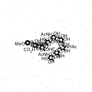 COc1ccc(OC2OC(C(=O)O)C(OC3OC(C)C(OC4OC(C=O)C(OC5OC(C)C(OC6OC(C(=O)O)C(OC7OC(C)C(OC8OC(C=O)C(OC9OC(C)C(O)C(O)C9NC(C)=O)C(O)C8O)C(O)C7NC(C)=O)C(O)C6O)C(O)C5NC(C)=O)C(O)C4O)C(O)C3NC(C)=O)C(O)C2O)cc1